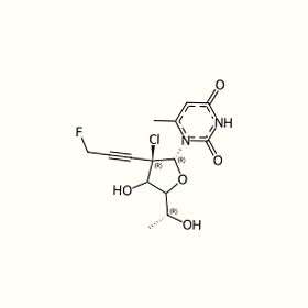 Cc1cc(=O)[nH]c(=O)n1[C@@H]1OC([C@@H](C)O)C(O)[C@]1(Cl)C#CCF